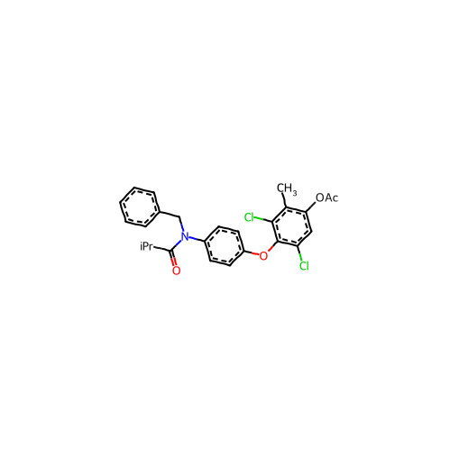 CC(=O)Oc1cc(Cl)c(Oc2ccc(N(Cc3ccccc3)C(=O)C(C)C)cc2)c(Cl)c1C